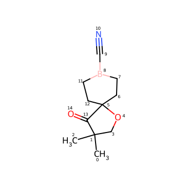 CC1(C)COC2(CCB(C#N)CC2)C1=O